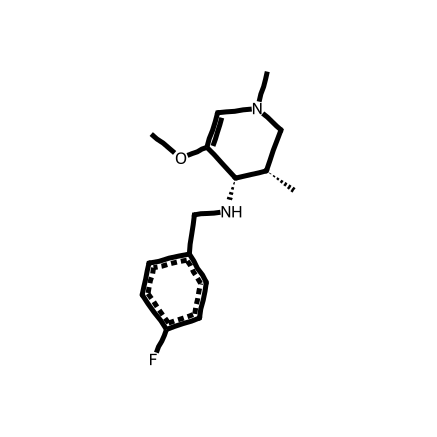 COC1=CN(C)C[C@H](C)[C@@H]1NCc1ccc(F)cc1